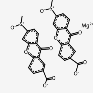 C[S+]([O-])c1ccc2c(=O)c3cc(C(=O)[O-])ccc3oc2c1.C[S+]([O-])c1ccc2c(=O)c3cc(C(=O)[O-])ccc3oc2c1.[Mg+2]